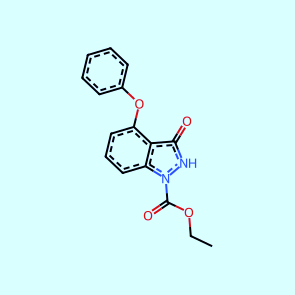 CCOC(=O)n1[nH]c(=O)c2c(Oc3ccccc3)cccc21